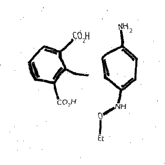 CCONc1ccc(N)cc1.Cc1c(C(=O)O)cccc1C(=O)O